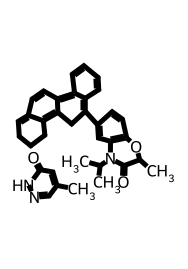 CC1Oc2ccc(C3=c4ccccc4=c4ccc5c(c4C3)CCCC=5)cc2N(C(C)C)C1=O.Cc1cn[nH]c(=O)c1